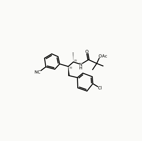 CC(=O)OC(C)(C)C(=O)N[C@@H](C)[C@@H](Cc1ccc(Cl)cc1)c1cccc(C#N)c1